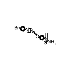 NC(=O)Nc1ccc(OCCCN2CCN(c3ccc(Br)cc3)CC2)cc1